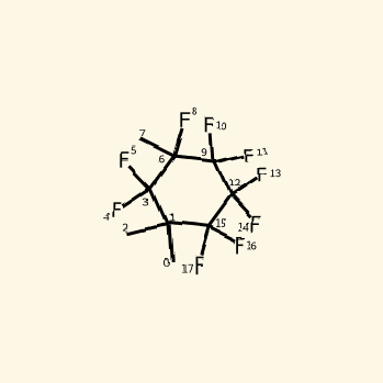 CC1(C)C(F)(F)C(C)(F)C(F)(F)C(F)(F)C1(F)F